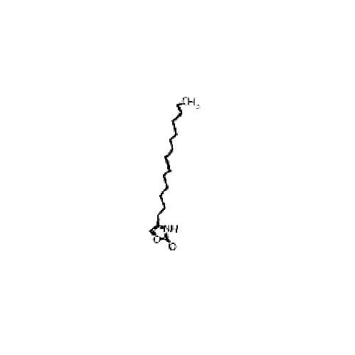 CCCCCCCCCCCCCCc1coc(=O)[nH]1